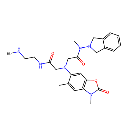 CCNCCNC(=O)CN(CC(=O)N(C)N1Cc2ccccc2C1)c1cc2oc(=O)n(C)c2cc1C